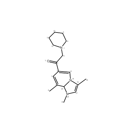 CC1=CC(C(=O)CN2CCCCC2)=CN2C(C)=CN(C)C12